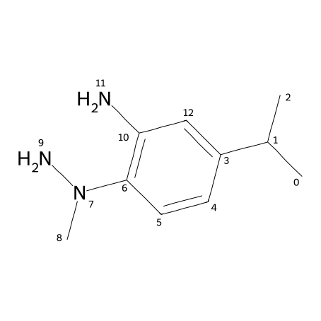 CC(C)c1ccc(N(C)N)c(N)c1